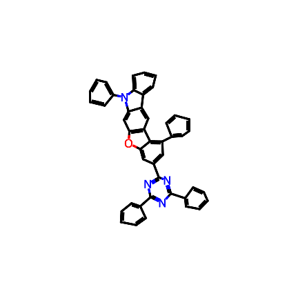 c1ccc(-c2nc(-c3ccccc3)nc(-c3cc(-c4ccccc4)c4c(c3)oc3cc5c(cc34)c3ccccc3n5-c3ccccc3)n2)cc1